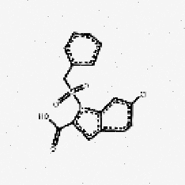 O=C(O)c1cc2ccc(Cl)cc2n1S(=O)(=O)Cc1ccccc1